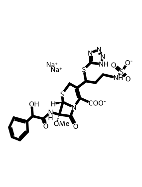 CO[C@@]1(NC(=O)C(O)c2ccccc2)C(=O)N2C(C(=O)[O-])=C(C(CCNS(=O)(=O)[O-])Sc3nnn[nH]3)CS[C@H]21.[Na+].[Na+]